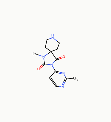 CCN1C(=O)N(c2ccnc(C(F)(F)F)n2)C(=O)C12CCNCC2